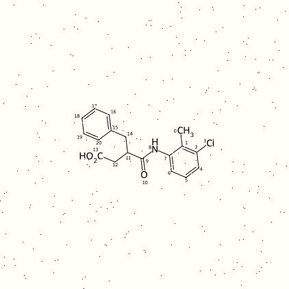 Cc1c(Cl)cccc1NC(=O)C(CC(=O)O)Cc1ccccc1